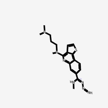 CN/C(=N\N=N)c1ccc2c(c1)nc(N(C)CCCN(C)C)c1ccsc12